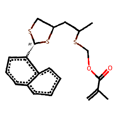 C=C(C)C(=O)OCSC(C)CC1CS[C@@H](c2cccc3ccccc23)S1